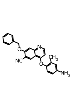 Cc1cc(N)ccc1Oc1ccnc2cc(OCc3ccccc3)c(C#N)cc12